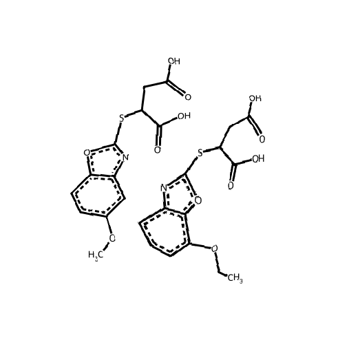 CCOc1cccc2nc(SC(CC(=O)O)C(=O)O)oc12.COc1ccc2oc(SC(CC(=O)O)C(=O)O)nc2c1